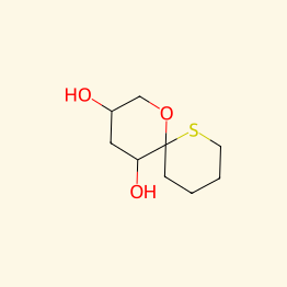 OC1COC2(CCCCS2)C(O)C1